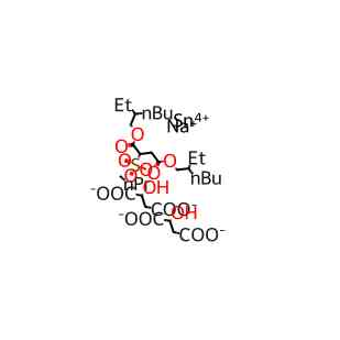 CCCC.CCCCC(CC)COC(=O)CC(C(=O)OCC(CC)CCCC)S(=O)(=O)[O-].O=C([O-])CC(O)C(=O)[O-].O=C([O-])CC(O)C(=O)[O-].[Na+].[Sn+4]